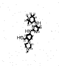 CN1CCN(c2ccc(Nc3ncc(F)c(NC4CC(C)(C)N(C)C(C)(C)C4)n3)cc2CO)CC1